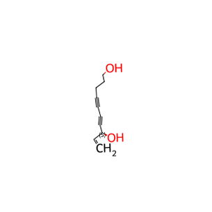 C=C[C@H](O)C#CC#CCCCO